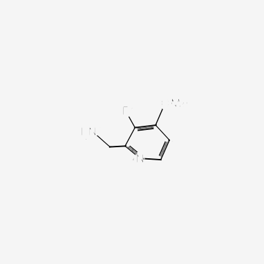 COc1ccnc(CN)c1F